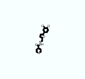 O=C(N/N=C/c1ccc(-c2ccc(Cl)c(Cl)c2)o1)c1ccncc1